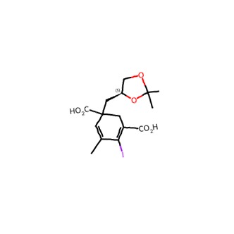 CC1=CC(C[C@H]2COC(C)(C)O2)(C(=O)O)CC(C(=O)O)=C1I